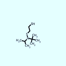 CC(C)N(SCCS)C(C)(C)C